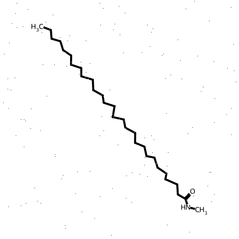 CCCCCCCCCCCCCCCCCCCCCCCCCCCC(=O)NC